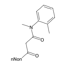 CCCCCCCCCC(=O)CC(=O)N(C)c1ccccc1C